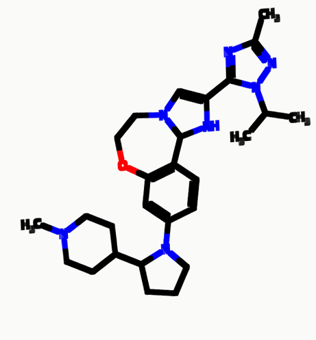 Cc1nc(C2=CN3CCOc4cc(N5CCCC5C5CCN(C)CC5)ccc4C3N2)n(C(C)C)n1